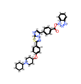 O=C(On1nnc2ccccc21)c1ccc(-c2cnc3sc(-c4ccc(OC5CCN(C6CCCCC6)CC5)cc4)nn23)cc1